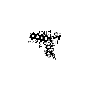 COc1cccc2c1C(=O)c1c(O)c3c(c(O)c1C2=O)C[C@@](O)(/C(CO)=N/CC(=O)C(C)C)C[C@@H]3O[C@H]1C[C@H]2[C@H](O[C@@H]3[C@@H](OC)OCCN32)[C@H](C)O1